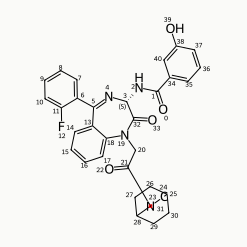 O=C(N[C@H]1N=C(c2ccccc2F)c2ccccc2N(CC(=O)N2CC3CCC(CC3)C2)C1=O)c1cccc(O)c1